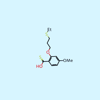 CCSCCCOc1cc(OC)ccc1C(O)=S